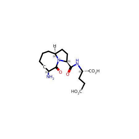 N[C@H]1CCCC[C@H]2CC[C@@H](C(=O)N[C@@H](CCC(=O)O)C(=O)O)N2C1=O